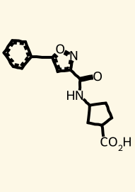 O=C(NC1CCC(C(=O)O)C1)c1cc(-c2ccccc2)on1